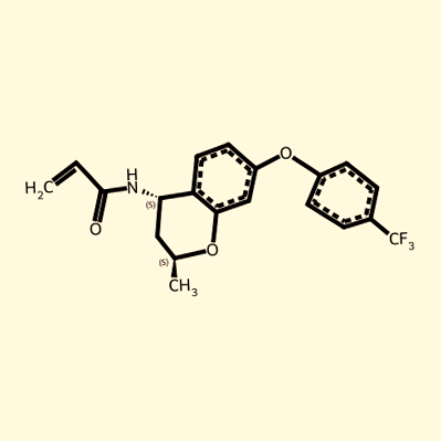 C=CC(=O)N[C@H]1C[C@H](C)Oc2cc(Oc3ccc(C(F)(F)F)cc3)ccc21